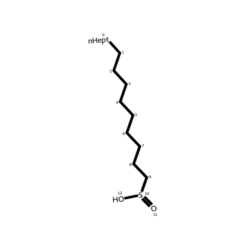 CCCCCCCCCCCCCCCCS(=O)O